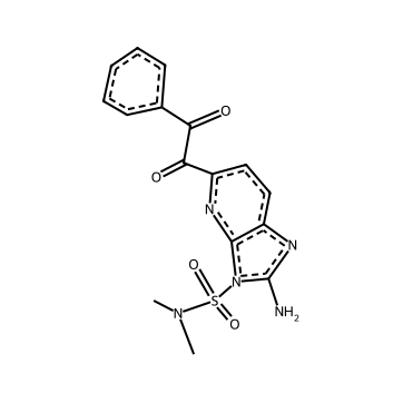 CN(C)S(=O)(=O)n1c(N)nc2ccc(C(=O)C(=O)c3ccccc3)nc21